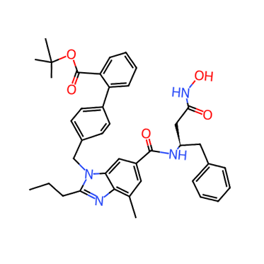 CCCc1nc2c(C)cc(C(=O)N[C@@H](CC(=O)NO)Cc3ccccc3)cc2n1Cc1ccc(-c2ccccc2C(=O)OC(C)(C)C)cc1